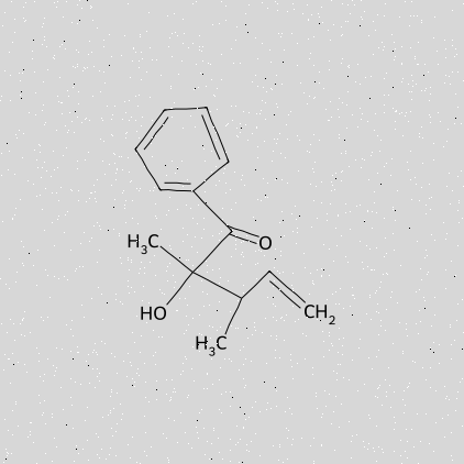 C=CC(C)C(C)(O)C(=O)c1ccccc1